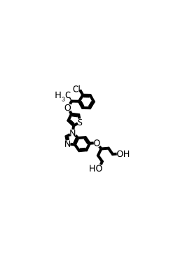 C[C@@H](Oc1csc(-n2cnc3ccc(OC(CCO)CCO)cc32)c1)c1ccccc1Cl